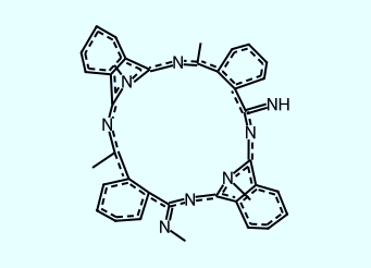 C/N=c1\nc2c3ccccc3c(nc(=N)c3ccccc3c(C)nc3c4ccccc4c(nc(C)c4ccccc14)n3C)n2C